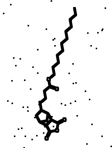 CCCCCCCCCCCCOC(=O)CCSC1CC2CC1C1C(=O)OC(=O)C21